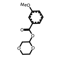 COc1cccc(C(=O)OC2COCCO2)c1